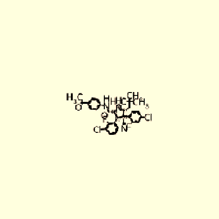 CC(=O)c1ccc(NC(=O)[C@@H]2N[C@@H](CC(C)(C)C)[C@](C#N)(c3ccc(Cl)cc3F)[C@H]2c2cccc(Cl)c2F)cc1